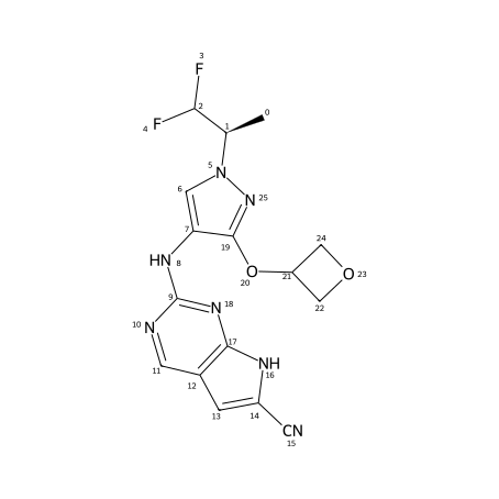 C[C@H](C(F)F)n1cc(Nc2ncc3cc(C#N)[nH]c3n2)c(OC2COC2)n1